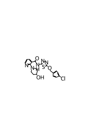 O=C(Nc1nnc(OCc2ccc(Cl)cc2)s1)c1cccnc1N1CCC(O)CC1